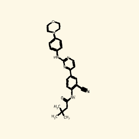 CC(C)(C)CC(=O)Nc1ccc(-c2ccnc(Nc3ccc(N4CCOCC4)cc3)n2)cc1C#N